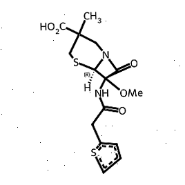 COC1(NC(=O)Cc2cccs2)C(=O)N2CC(C)(C(=O)O)CS[C@@H]21